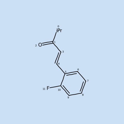 CC(C)C(=O)C=Cc1ccccc1F